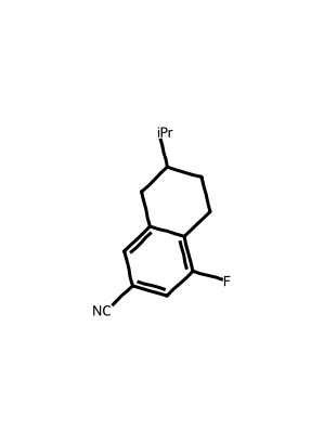 CC(C)C1CCc2c(F)cc(C#N)cc2C1